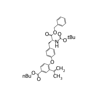 C=C(C)c1cc(C(=O)OCCCC)ccc1Oc1ccc(C[C@H](NC(=O)OC(C)(C)C)C(=O)OCc2ccccc2)cc1